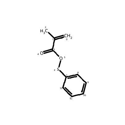 C=C(C)C(=O)OSc1ccccc1